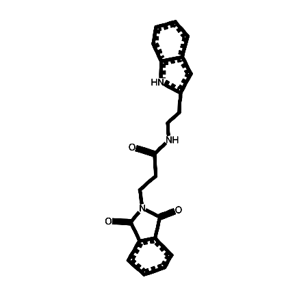 O=C(CCN1C(=O)c2ccccc2C1=O)NCCc1cc2ccccc2[nH]1